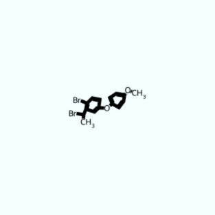 COc1ccc(Oc2ccc(Br)c(C(C)Br)c2)cc1